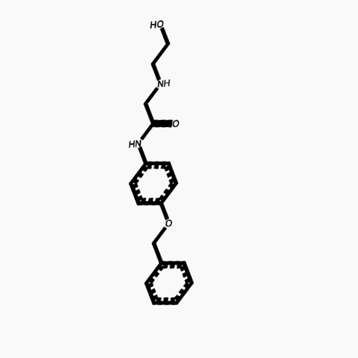 O=C(CNCCO)Nc1ccc(OCc2ccccc2)cc1